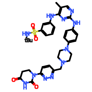 Cc1cnc(Nc2ccc(N3CCN(Cc4ccc(N5CCC(=O)NC5=O)nn4)CC3)cc2)nc1Nc1cccc(S(=O)(=O)NC(C)(C)C)c1